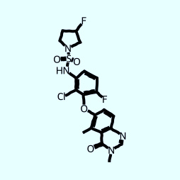 Cc1c(Oc2c(F)ccc(NS(=O)(=O)N3CCC(F)C3)c2Cl)ccc2ncn(C)c(=O)c12